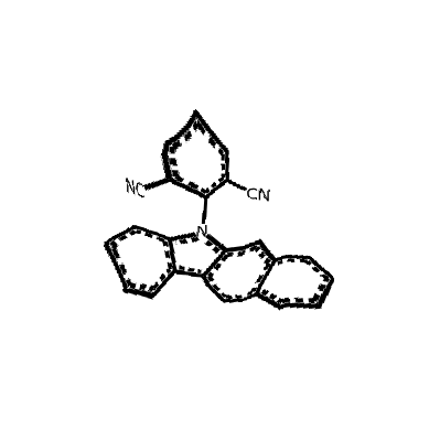 N#Cc1cccc(C#N)c1-n1c2ccccc2c2cc3ccccc3cc21